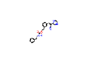 N#CC(=Cc1cccc(CCOC(=O)NCCc2ccccc2)c1)c1cnccn1